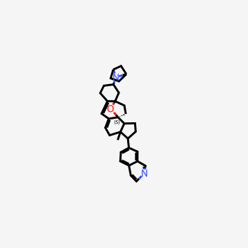 CC12CC=C3C=C4CCC(N5C6CCC5C6)CC45CC[C@]3(O5)C1CCC2c1ccc2ccncc2c1